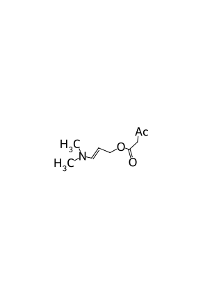 CC(=O)CC(=O)OCC=CN(C)C